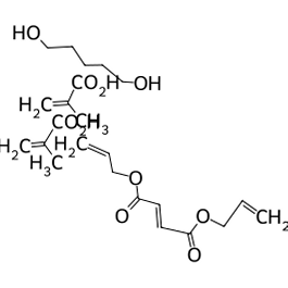 C=C(C)C(=O)O.C=C(C)C(=O)O.C=CCOC(=O)C=CC(=O)OCC=C.OCCCCCO